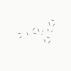 COc1cc(Nc2nc3ccccc3nc2NS(=O)(=O)c2cccc(NC(=O)Cc3conc3C)c2)cc(OC)c1